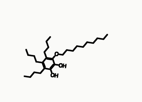 CCCCCCCCCCOc1c(O)c(O)c(CCCC)c(CCCC)c1CCCC